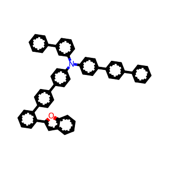 c1ccc(-c2ccc(-c3ccc(N(c4ccc(-c5ccc(-c6ccccc6-c6cc7ccccc7o6)cc5)cc4)c4cccc(-c5ccccc5)c4)cc3)cc2)cc1